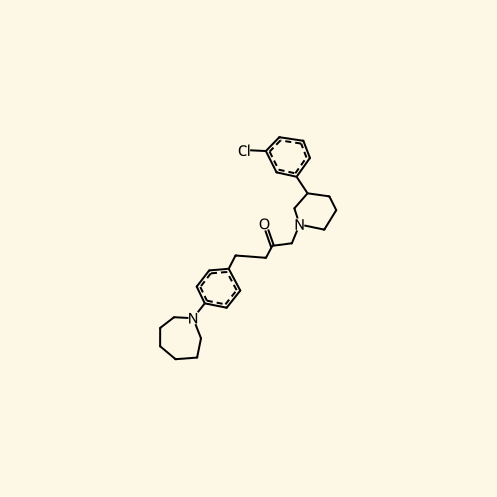 O=C(CCc1ccc(N2CCCCCC2)cc1)CN1CCCC(c2cccc(Cl)c2)C1